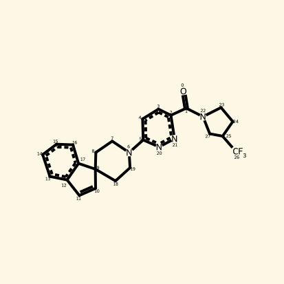 O=C(c1ccc(N2CCC3(C=Cc4ccccc43)CC2)nn1)N1CCC(C(F)(F)F)C1